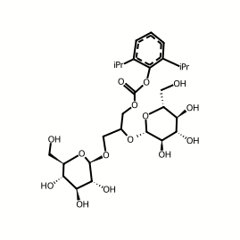 CC(C)c1cccc(C(C)C)c1OC(=O)OCC(CO[C@@H]1O[C@H](CO)[C@@H](O)[C@H](O)[C@H]1O)O[C@@H]1O[C@H](CO)[C@@H](O)[C@H](O)[C@H]1O